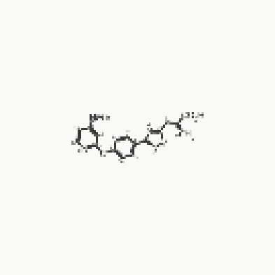 C=C(Cc1nc(-c2ccc(Oc3cc(NC)ccn3)cc2)no1)C(=O)O